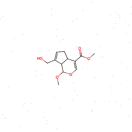 COC(=O)C1=COC(OC)C2C(CO)=CCC12